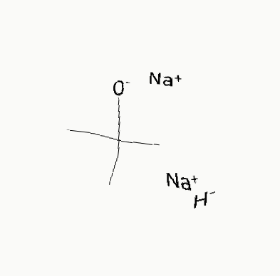 CC(C)(C)[O-].[H-].[Na+].[Na+]